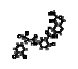 CCCCC(=O)Nc1c(F)ccc(NC(=O)c2cc(NC(=O)[C@H]3[C@H](c4ccc(Cl)c(Cl)c4)C3(Cl)Cl)ccc2Cl)c1F